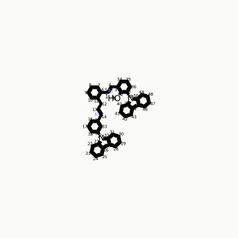 [1H]Oc1c(/C=C/c2ccccc2C/C=C/c2cccc(-n3c4ccccc4c4ccccc43)c2)cccc1-n1c2ccccc2c2ccccc21